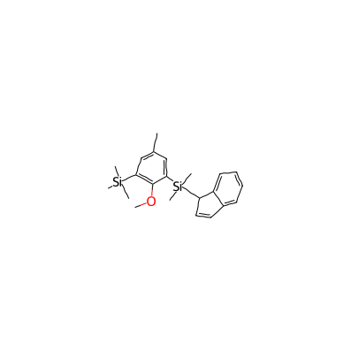 COc1c([Si](C)(C)C)cc(C)cc1[Si](C)(C)C1C=Cc2ccccc21